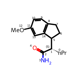 CCC[C@H](C(N)=O)C1CCc2ccc(OC)cc21